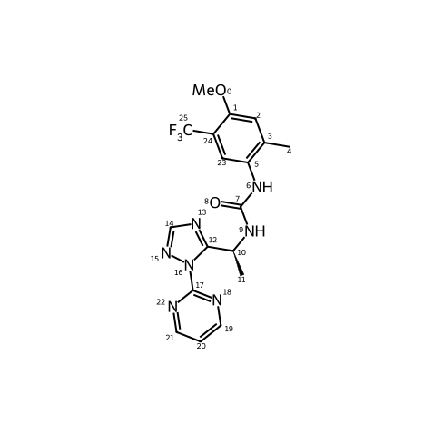 COc1cc(C)c(NC(=O)N[C@@H](C)c2ncnn2-c2ncccn2)cc1C(F)(F)F